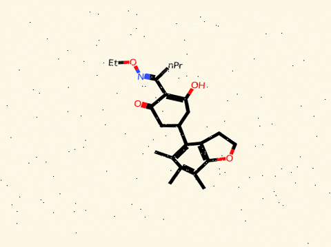 CCCC(=NOCC)C1=C(O)CC(c2c(C)c(C)c(C)c3c2CCO3)CC1=O